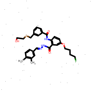 Cc1ccc(C=NNC(=O)c2cc(OCCCCF)ccc2NC(=O)c2cccc(CSCCO)c2)cc1C